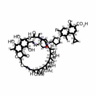 CO[C@H]1/C=C/O[C@@]2(C)Oc3c(C)c(O)c4c(O)c(c(/C=N/N5CCN(C6CCN(c7c(F)cn8c(=O)c(C(=O)O)cc(C9CC9)c8c7C)C6)CC5)c(O)c4c3C2=O)NC(=O)/C(C)=C\C=C\[C@H](C)[C@H](O)[C@@H](C)[C@@H](O)[C@@H](C)[C@H](OC(C)=O)[C@@H]1C